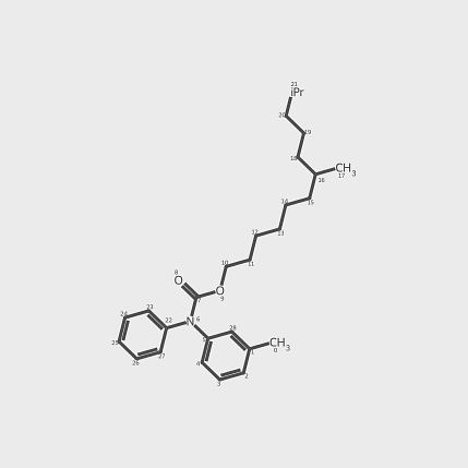 Cc1cccc(N(C(=O)OCCCCCCC(C)CCCC(C)C)c2ccccc2)c1